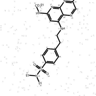 CCOC(=O)Nc1cc(NCCc2ccc(S(=O)(=O)N(CC)CC)cc2)c2ncc(C)nc2n1